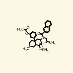 COC1CC(N(CC(C)C)C(=O)c2ccc3ccccc3c2)CC2(c3cccc(OC(C)=O)c3)CCN(C)CC12